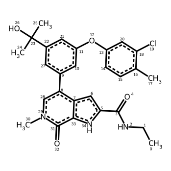 CCNC(=O)c1cc2c(-c3cc(Oc4ccc(C)c(Cl)c4)cc(C(C)(C)O)c3)cn(C)c(=O)c2[nH]1